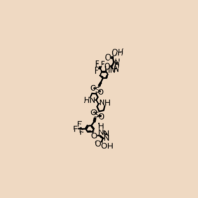 O=C(O)c1nn[nH]c1Oc1cc(C#CS(=O)(=O)C2CCNC(C3CC(S(=O)(=O)C#Cc4ccc(Oc5[nH]nnc5C(=O)O)c(C(F)(F)F)c4)CCN3)C2)cc(C(F)(F)F)c1